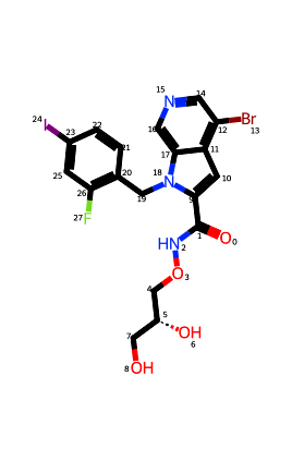 O=C(NOC[C@H](O)CO)c1cc2c(Br)cncc2n1Cc1ccc(I)cc1F